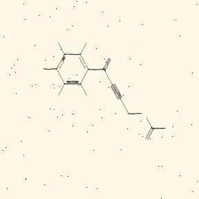 Bc1c(B)c(B)c(C(=O)C#CCOC(=O)C(C)=O)c(B)c1B